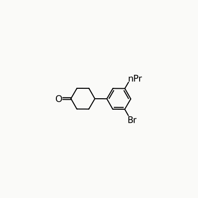 CCCc1cc(Br)cc(C2CCC(=O)CC2)c1